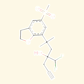 C#CCC(O)(CC(C)(C)c1cc(S(C)(=O)=O)cc2c1OCC2)C(F)F